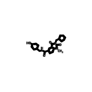 Cn1c(=O)n(Cc2ccccc2)c(=O)c2cc(C(=O)NCc3ccc(O)cc3)ccc21